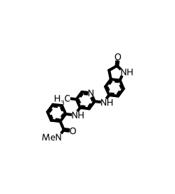 CNC(=O)c1ccccc1Nc1cc(Nc2ccc3c(c2)CC(=O)N3)ncc1C